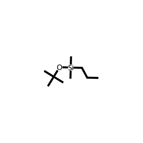 CCC[Si](C)(C)OC(C)(C)C